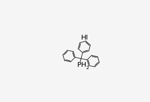 I.PC(c1ccccc1)(c1ccccc1)c1ccccc1